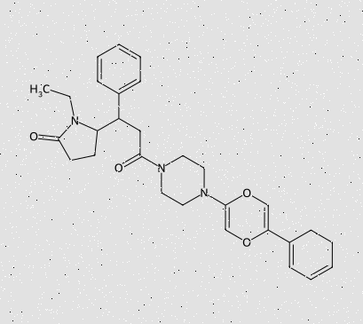 CCN1C(=O)CCC1C(CC(=O)N1CCN(C2=COC(C3=CC=CCC3)=CO2)CC1)c1ccccc1